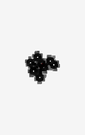 c1ccc(-c2cccc3c4ccc5c6ccccc6n(-c6ccc(-c7cccc8ccccc78)cc6)c5c4n(-c4ccccc4)c23)cc1